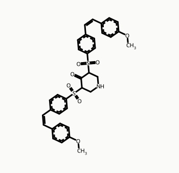 COc1ccc(/C=C\c2ccc(S(=O)(=O)C3CNCC(S(=O)(=O)c4ccc(/C=C\c5ccc(OC)cc5)cc4)C3=O)cc2)cc1